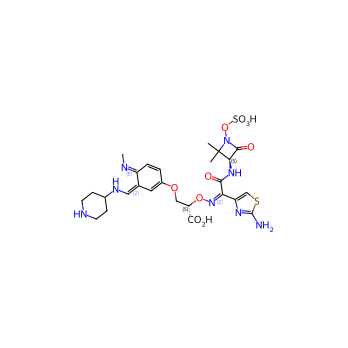 C/N=C1\C=CC(OC[C@H](O/N=C(\C(=O)N[C@@H]2C(=O)N(OS(=O)(=O)O)C2(C)C)c2csc(N)n2)C(=O)O)=C\C1=C\NC1CCNCC1